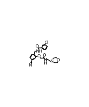 N#Cc1ccc(CNC(=O)c2cccc(Cl)c2)c(OCC(=O)NCCN2CCOCC2)c1